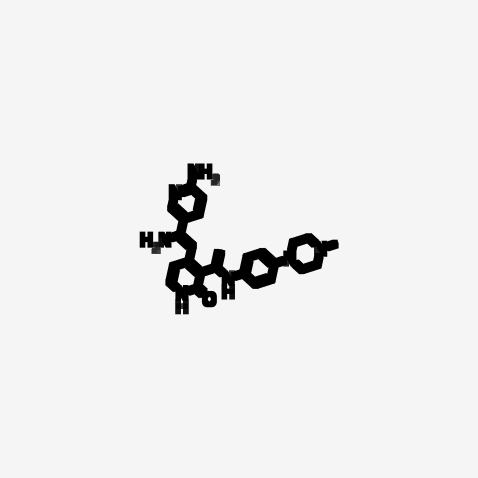 C=C(Nc1ccc(N2CCN(C)CC2)cc1)c1c(/C=C(\N)c2ccc(N)nc2)cc[nH]c1=O